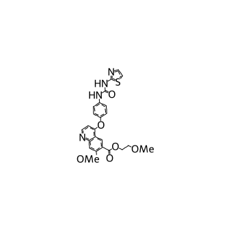 COCCOC(=O)c1cc2c(Oc3ccc(NC(=O)Nc4nccs4)cc3)ccnc2cc1OC